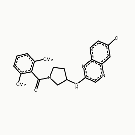 COc1cccc(OC)c1C(=O)N1CCC(Nc2cnc3cc(Cl)ccc3n2)C1